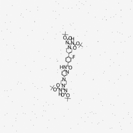 CC(C)(C)OC(=O)N=C(NC(=O)OC(C)(C)C)N1CC=C(c2ccc(C(=O)Nc3ccc(N4CCN(C(=NC(=O)OC(C)(C)C)NC(=O)OC(C)(C)C)CC4)cn3)cc2F)CC1